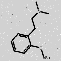 CCCCOc1ccccc1CCN(C)C